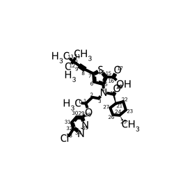 CC(CCN(c1cc(C#CC(C)(C)C)sc1C(=O)O)C(=O)[C@H]1CC[C@H](C)CC1)Oc1ccc(Cl)nn1